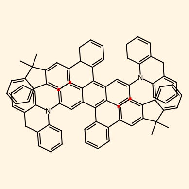 CC1(C)c2ccccc2-c2ccc(-c3ccccc3-c3c4ccc(N5C6=C(C=CCC6)Cc6ccccc65)cc4c(C4=CC=CCC4c4ccc5c(c4)C(C)(C)c4ccccc4-5)c4ccc(N5c6ccccc6Cc6ccccc65)cc34)cc21